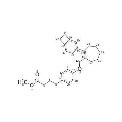 COC(=O)CCCc1ccc(OCC2=C(c3ccc4c(c3)CC4)CCCCC2)cc1